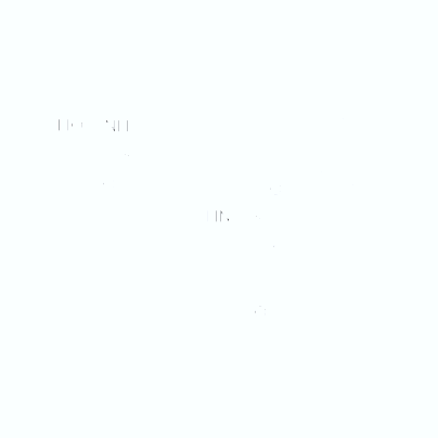 O=C(NO)c1cccc(NC(=O)C2(c3ccc4ccccc4c3)CCOCC2)c1